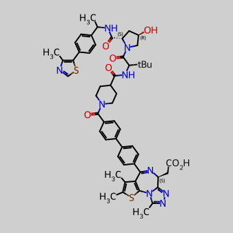 Cc1ncsc1-c1ccc(C(C)NC(=O)[C@@H]2C[C@@H](O)CN2C(=O)C(NC(=O)C2CCN(C(=O)c3ccc(-c4ccc(C5=N[C@@H](CC(=O)O)c6nnc(C)n6-c6sc(C)c(C)c65)cc4)cc3)CC2)C(C)(C)C)cc1